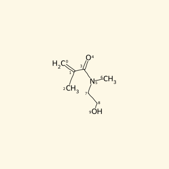 C=C(C)C(=O)N(C)CCO